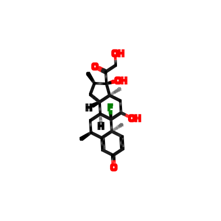 C[C@@H]1C[C@H]2[C@@H]3C[C@H](C)C4=CC(=O)C=C[C@]4(C)[C@@]3(F)C(O)C[C@]2(C)[C@@]1(O)C(=O)CO